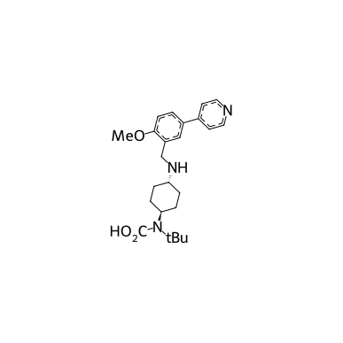 COc1ccc(-c2ccncc2)cc1CN[C@H]1CC[C@H](N(C(=O)O)C(C)(C)C)CC1